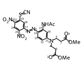 COC(=O)CCN(CCC(=O)OC)c1ccc(/N=N/c2cc(SC#N)c([N+](=O)[O-])cc2[N+](=O)[O-])c(NC(C)=O)c1